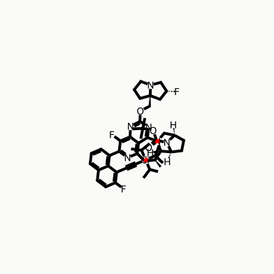 CC(C)[Si](C#Cc1c(F)ccc2cccc(-c3nc4c5c(nc(OC[C@@]67CCCN6C[C@H](F)C7)nc5c3F)N3C[C@H]5CC[C@@H]([C@@H]3[C@@H](C)C4)N5C(=O)OC(C)(C)C)c12)(C(C)C)C(C)C